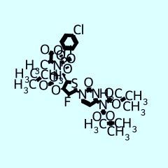 CC(NP(=O)(OC[C@H]1S[C@@H](n2ccc(N(C(=O)OC(C)(C)C)C(=O)OC(C)(C)C)nc2=O)[C@@H](F)[C@@H]1OC(=O)OC(C)(C)C)Oc1ccc(Cl)cc1)C(=O)O